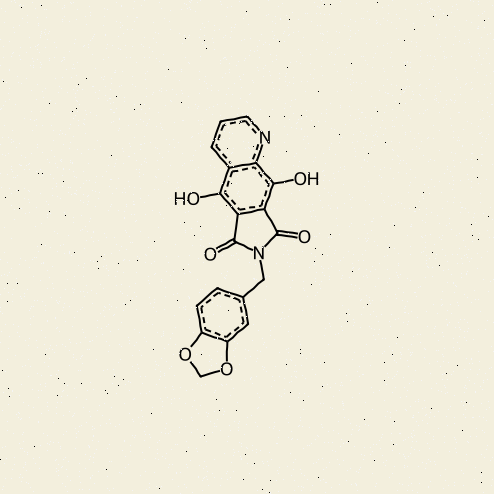 O=C1c2c(c(O)c3ncccc3c2O)C(=O)N1Cc1ccc2c(c1)OCO2